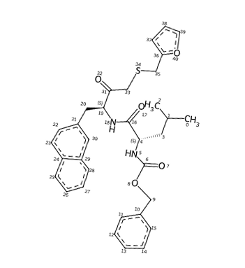 CC(C)C[C@H](NC(=O)OCc1ccccc1)C(=O)N[C@@H](Cc1ccc2ccccc2c1)C(=O)CSCc1ccco1